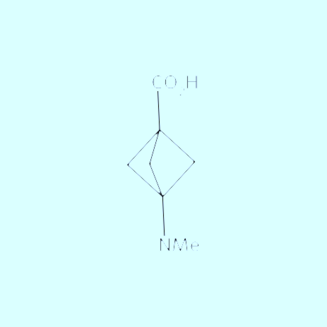 CNC12CC(C(=O)O)(C1)C2